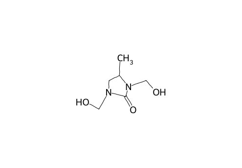 CC1CN(CO)C(=O)N1CO